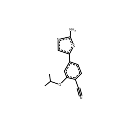 CC(C)Oc1cc(-c2cnc(N)s2)ccc1C#N